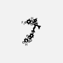 O=C1CCC(N2C(=O)c3ccc(N4CC(C#Cc5cn(C6(C(=O)Nc7ccc(C(F)(F)F)cc7Cl)CCC6)nc5C5CC5)C4)cc3C2=O)C(=O)N1